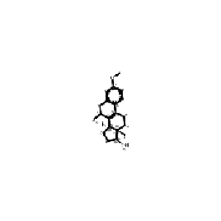 COc1ccc2c(c1)CC(C)C1=C2CC[C@]2(C)[C@@H](O)CC[C@@H]12